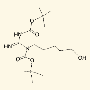 CC(C)(C)OC(=O)NC(=N)N(CCCCCO)C(=O)OC(C)(C)C